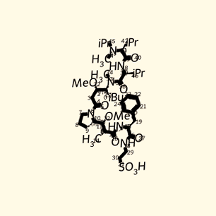 CC[C@H](C)[C@@H]([C@@H](CC(=O)N1CCC[C@H]1[C@H](OC)[C@@H](C)C(=O)N[C@@H](Cc1ccccc1)C(=O)NCCS(=O)(=O)O)OC)N(C)C(=O)[C@@H](NC(=O)[C@H](C(C)C)N(C)C(C)C)C(C)C